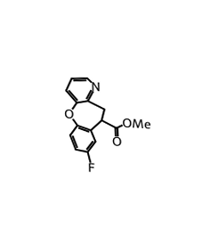 COC(=O)C1Cc2ncccc2Oc2ccc(F)cc21